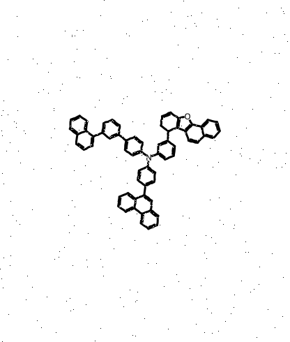 C1=Cc2oc3c(ccc4ccccc43)c2C(c2cccc(N(c3ccc(-c4cccc(-c5cccc6ccccc56)c4)cc3)c3ccc(-c4cc5ccccc5c5ccccc45)cc3)c2)C1